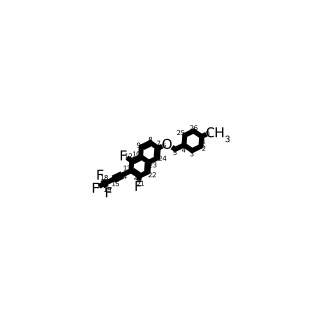 CC1CCC(COc2ccc3c(F)c(C#CC(F)(F)F)c(F)cc3c2)CC1